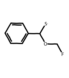 FCOC([S])c1ccccc1